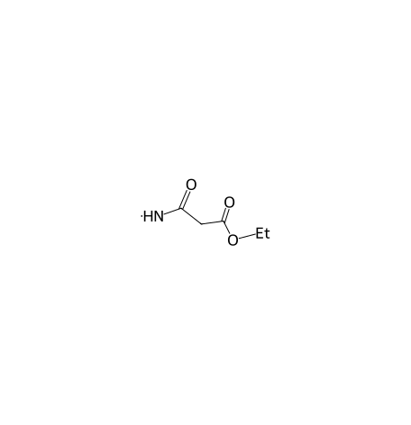 CCOC(=O)CC([NH])=O